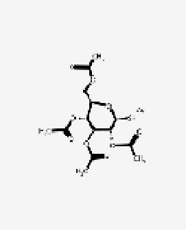 CC(=O)OC[C@H]1O[C@@H](S)[C@H](OC(C)=O)[C@@H](OC(C)=O)[C@@H]1OC(C)=O.[Ag]